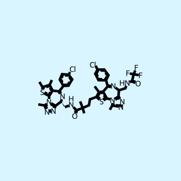 Cc1sc2c(c1C)C(c1ccc(Cl)cc1)=N[C@H](CNC(=O)C(C)(C)CCc1sc3c(c1C)C(c1ccc(Cl)cc1)=NC(CNC(=O)C(F)(F)F)c1nnc(C)n1-3)c1nnc(C)n1-2